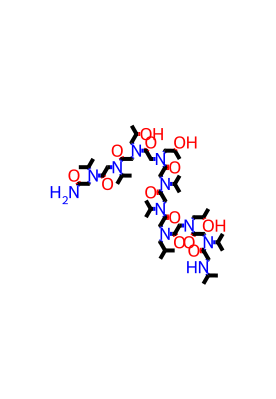 CC(C)CN(CC(=O)N(CC(=O)N(CC(=O)N(CC(=O)N(CC(=O)N(CC(=O)N(CC(N)=O)C(C)C)C(C)C)CC(C)O)CC(C)O)C(C)C)C(C)C)C(=O)CN(CC(C)O)C(=O)CN(C(=O)CNC(C)C)C(C)C